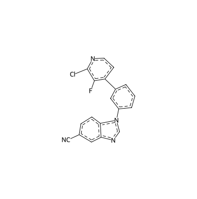 N#Cc1ccc2c(c1)ncn2-c1cccc(-c2ccnc(Cl)c2F)c1